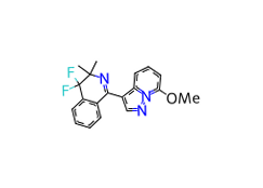 COc1cccc2c(C3=NC(C)(C)C(F)(F)c4ccccc43)cnn12